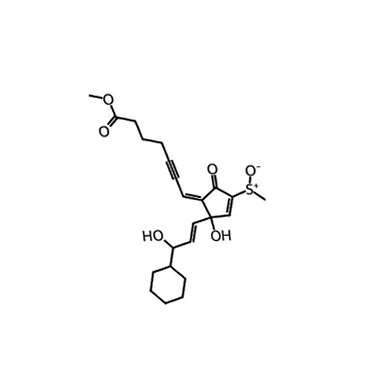 COC(=O)CCCC#C/C=C1\C(=O)C([S+](C)[O-])=CC1(O)/C=C/C(O)C1CCCCC1